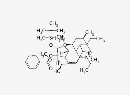 CC[N+]1=C2C3=C4C5[C@@H](OC(=O)c6ccccc6)[C@](O[Si](C)(C)C(C)(C)C)(C[C@@H]5C25C(C3OC)C(CC)(C1)[C@H](C)C[C@@H]5OC)[C@@H](OC)[C@@H]4O